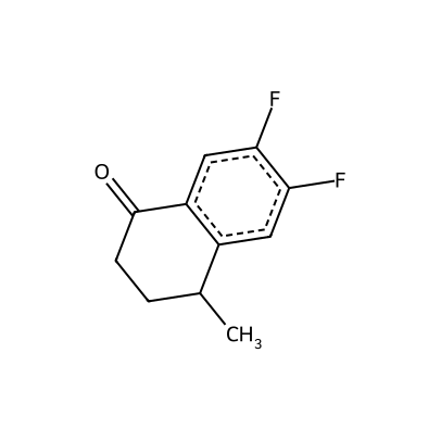 CC1CCC(=O)c2cc(F)c(F)cc21